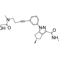 C[C@@H]1Cc2c(C(N)=O)nn(-c3cccc(C#CCCN(C)C(=O)CO)c3)c2C1